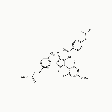 COC(=O)COc1ccc(C(F)(F)F)c(-n2c(=O)c(NC(=O)c3ccc(OC(F)F)cc3)c(-c3c(F)cc(OC)cc3F)n2C)n1